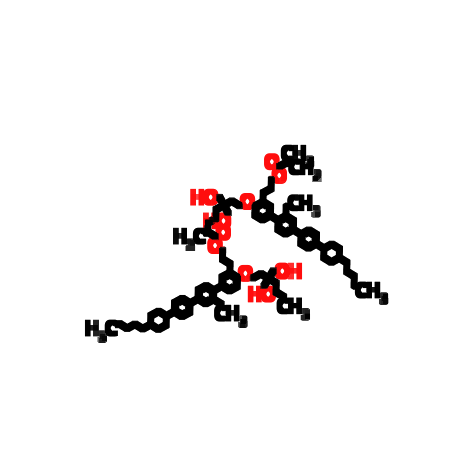 C=C(C)C(=O)OCCCc1cc(-c2ccc(-c3ccc(C4CCC(CCCCC)CC4)cc3)cc2CC)ccc1OCCC(CO)(CO)CCCC(=C)C(=O)OCCCc1cc(-c2ccc(-c3ccc(C4CCC(CCCCC)CC4)cc3)cc2CC)ccc1OCCC(CO)(CO)CCCC